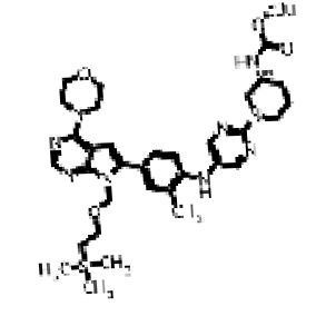 Cc1cc(-c2cc3c(N4CCOCC4)ncnc3n2COCC[Si](C)(C)C)ccc1Nc1cnc(N2CCC[C@@H](NC(=O)OC(C)(C)C)C2)nc1